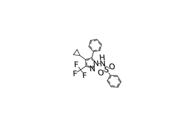 O=S(=O)(Nn1nc(C(F)(F)F)c(C2CC2)c1-c1ccccc1)c1ccccc1